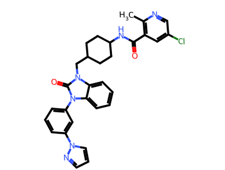 Cc1ncc(Cl)cc1C(=O)NC1CCC(Cn2c(=O)n(-c3cccc(-n4cccn4)c3)c3ccccc32)CC1